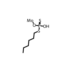 CCCCCCSP(O)(=S)[O][Mo]